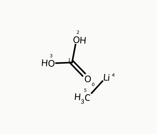 O=C(O)O.[Li][CH3]